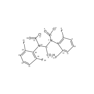 O=C(O)C(N(C(=O)Cl)c1c(F)cccc1F)N(C(=O)Cl)c1c(F)cccc1F